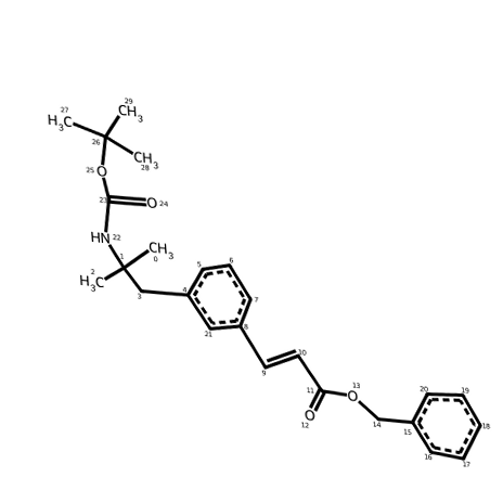 CC(C)(Cc1cccc(/C=C/C(=O)OCc2ccccc2)c1)NC(=O)OC(C)(C)C